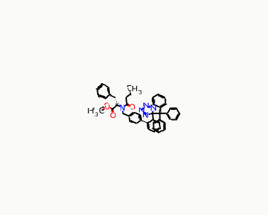 CCCC(=O)N(Cc1ccc(-c2ccccc2C2(C(c3ccccc3)(c3ccccc3)c3ccccc3)N=NN=N2)cc1)[C@@H](Cc1ccccc1)C(=O)OC